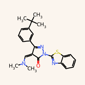 CN(C)C=C1C(=O)N(c2nc3ccccc3s2)N=C1c1cccc(C(C)(C)C)c1